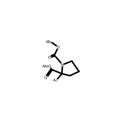 COC(=O)C1(C(C)=O)CCCN1C(=O)OC(C)(C)C